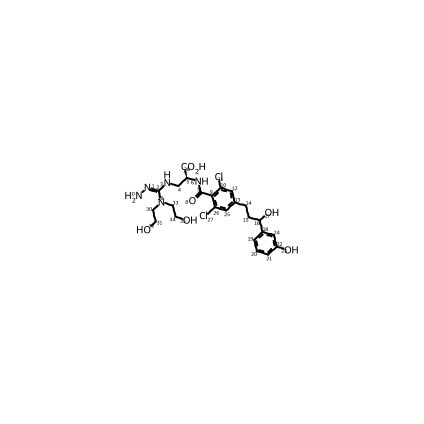 N/N=C(/NC[C@H](NC(=O)c1c(Cl)cc(CCC(O)c2cccc(O)c2)cc1Cl)C(=O)O)N(CCO)CCO